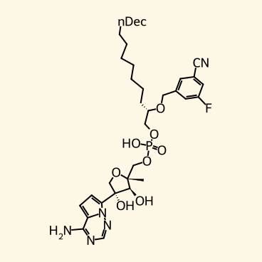 CCCCCCCCCCCCCCCCC[C@@H](COP(=O)(O)OC[C@@]1(C)OC[C@](O)(c2ccc3c(N)ncnn23)[C@@H]1O)OCc1cc(F)cc(C#N)c1